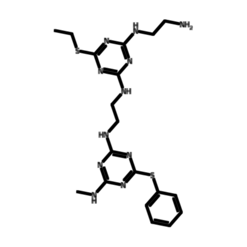 CCSc1nc(NCCN)nc(NCCNc2nc(NC)nc(Sc3ccccc3)n2)n1